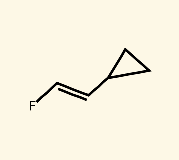 FC=CC1CC1